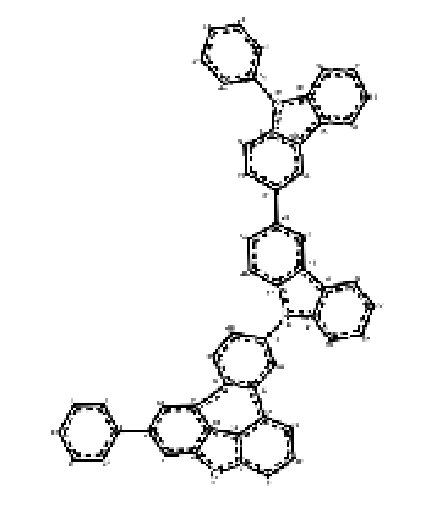 c1ccc(-c2cc3oc4cccc5c6cc(-n7c8ccccc8c8cc(-c9ccc%10c(c9)c9ccccc9n%10-c9ccccc9)ccc87)ccc6c(c2)c3c45)cc1